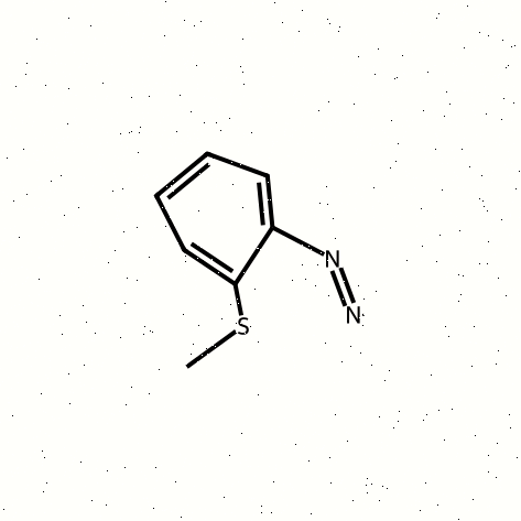 CSc1ccccc1N=[N]